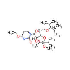 CCOc1ccn([C@@H]2O[C@H](CO[SiH](C(C)C)C(C)C)C(O[Si](OC)(C(C)C)C(C)C)C2O)c(=O)n1